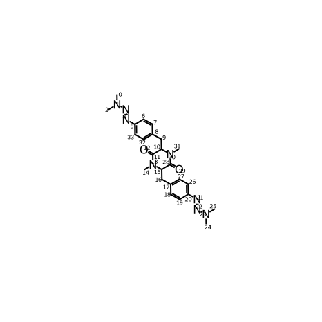 CN(C)/N=N/c1ccc(CC2C(=O)N(C)C(Cc3ccc(/N=N/N(C)C)cc3)C(=O)N2C)cc1